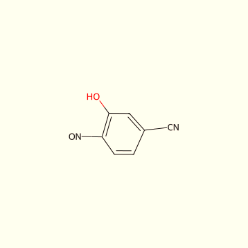 N#Cc1ccc(N=O)c(O)c1